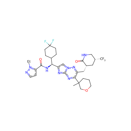 CCn1nccc1C(=O)N[C@H](c1cn2nc(C[C@H]3C[C@@H](C(F)(F)F)CNC3=O)c(C3(C)CCCOC3)nc2n1)C1CCC(F)(F)CC1